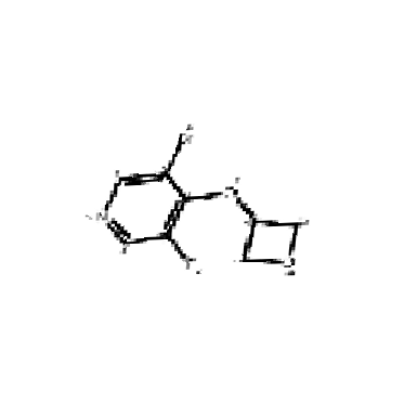 Fc1cncc(Br)c1OC1COC1